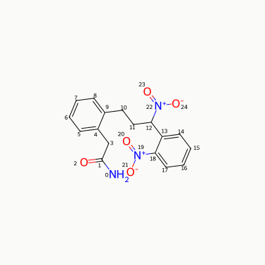 NC(=O)Cc1ccccc1CCC(c1ccccc1[N+](=O)[O-])[N+](=O)[O-]